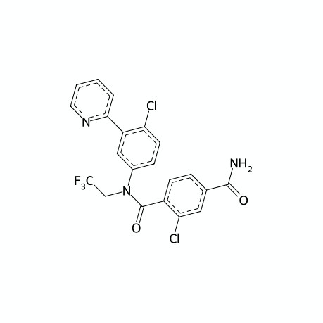 NC(=O)c1ccc(C(=O)N(CC(F)(F)F)c2ccc(Cl)c(-c3ccccn3)c2)c(Cl)c1